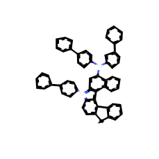 CC1(C)c2ccccc2-c2c1ccc1c2c2c3ccccc3c(N(c3ccc(-c4ccccc4)cc3)c3cccc(-c4ccccc4)c3)cc2n1-c1ccc(-c2ccccc2)cc1